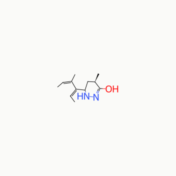 C/C=C(C)\C(=C\C)C1C[C@@H](C)C(O)=NN1